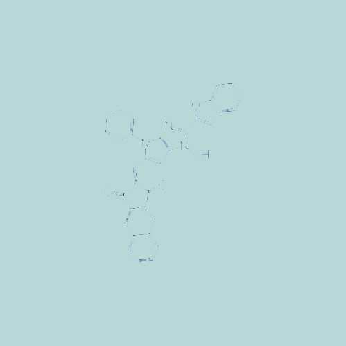 Cn1c(-c2cc3ccccc3o2)nc2c1cc(C=C1C(=O)c3cc4ccccc4cc3C1=O)n2-c1ccccc1